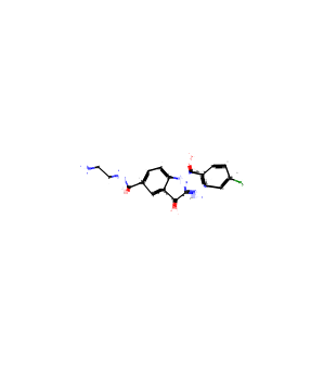 NCCNC(=O)c1ccc2c(c1)C(=O)c1nc3cc(F)ccc3c(=O)n1-2